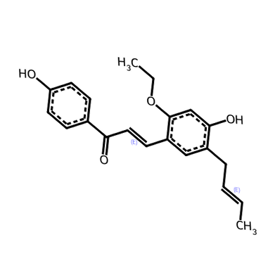 C/C=C/Cc1cc(/C=C/C(=O)c2ccc(O)cc2)c(OCC)cc1O